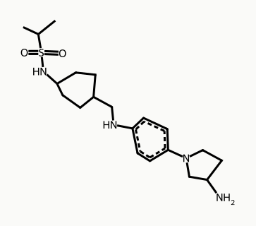 CC(C)S(=O)(=O)NC1CCC(CNc2ccc(N3CCC(N)C3)cc2)CC1